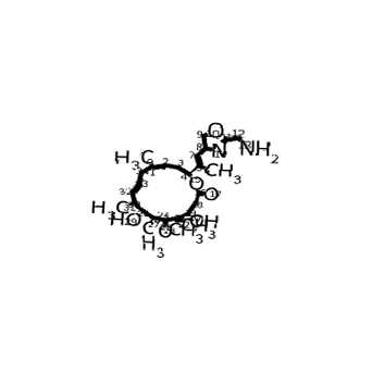 C/C1=C/C[C@@H](/C(C)=C/C2COC(CN)=N2)OC(=O)C[C@H](O)C(C)(C)C(=O)[C@H](C)[C@@H](O)[C@@H](C)/C=C/C1